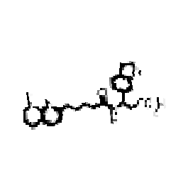 O=C(O)CC(NC(=O)CCCCc1ccc2c(n1)NCCC2)c1ccc2c(c1)OCC2